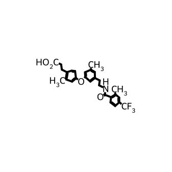 Cc1cc(CCNC(=O)c2ccc(C(F)(F)F)cc2C)cc(Oc2ccc(CCC(=O)O)c(C)c2)c1